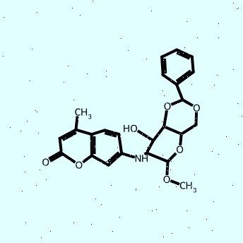 COC1OC2COC(c3ccccc3)OC2C(O)C1Nc1ccc2c(C)cc(=O)oc2c1